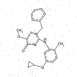 COc1cn(Cc2ccccc2)c(Nc2cc(OC3CC3)ccc2C)nc1=O